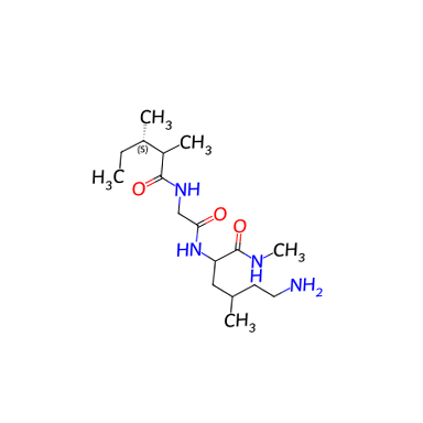 CC[C@H](C)C(C)C(=O)NCC(=O)NC(CC(C)CCN)C(=O)NC